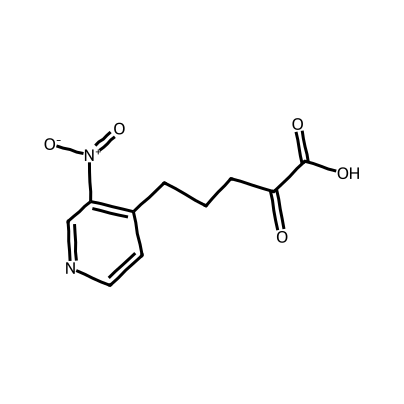 O=C(O)C(=O)CCCc1ccncc1[N+](=O)[O-]